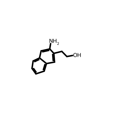 Nc1cc2ccccc2cc1CCO